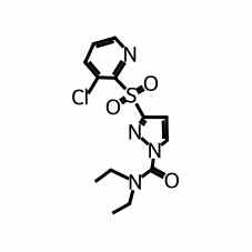 CCN(CC)C(=O)n1ccc(S(=O)(=O)c2ncccc2Cl)n1